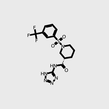 O=C(Nc1nnn[nH]1)[C@H]1CCCN(S(=O)(=O)c2cccc(C(F)(F)F)c2)C1